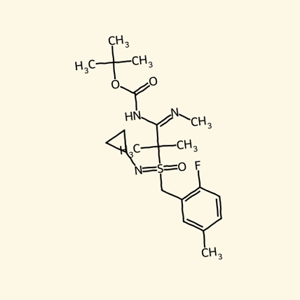 C/N=C(/NC(=O)OC(C)(C)C)C(C)(C)S(=O)(Cc1cc(C)ccc1F)=NC1CC1